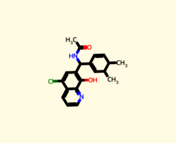 CC(=O)NC(C1=CC(C)C(C)C=C1)c1cc(Cl)c2cccnc2c1O